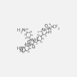 Cc1nc(C(=O)NC(C)C(F)(F)F)ccc1-c1ccc(C[C@H](NC(=O)[C@H]2CC[C@H](CN)CC2)C(=O)Nc2ccc3cn[nH]c3c2)cc1